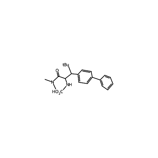 CN(C)C(=O)C(NC(=O)O)C(c1ccc(-c2ccccc2)cc1)C(C)(C)C